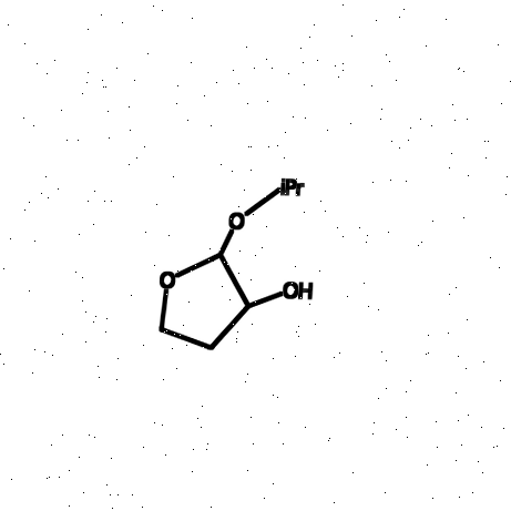 CC(C)OC1OCCC1O